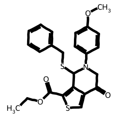 CCOC(=O)c1scc2c1C(SCc1ccccc1)N(c1ccc(OC)cc1)CC2=O